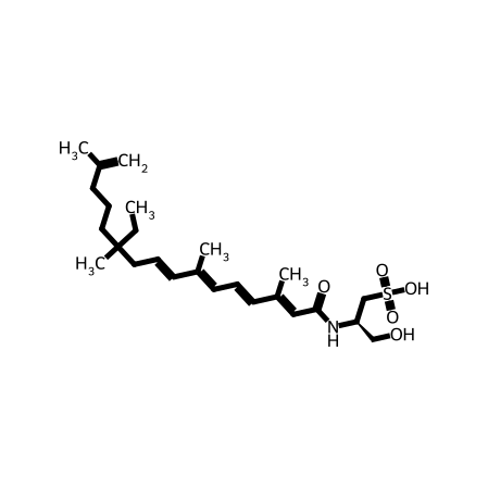 C=C(C)CCCC(C)(CC)C/C=C/C(C)=C/C=C/C(C)=C/C(=O)N[C@H](CO)CS(=O)(=O)O